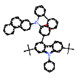 CC(C)(C)c1ccc2c3c(-c4cccc(N(c5ccc6c(ccc7ccccc76)c5)c5ccccc5-c5ccccc5)c4)cc(C(C)(C)C)cc3n(-c3ccccc3)c2c1